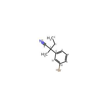 CCC(C)(C#N)c1cccc(Br)c1